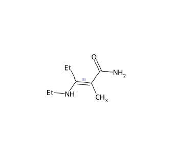 CCN/C(CC)=C(\C)C(N)=O